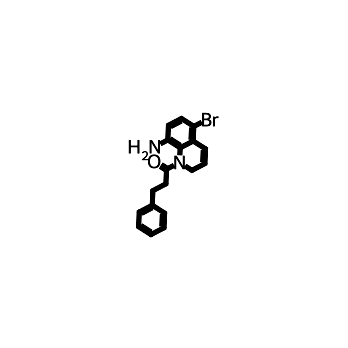 Nc1ccc(Br)c2c1N(C(=O)CCc1ccccc1)CC=C2